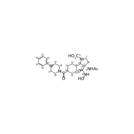 CC(=O)N[C@@]1(C(=O)NO)CCN(C(=O)O)C1C1CCC(C(=O)N2CCN(c3ccccc3)CC2)CC1